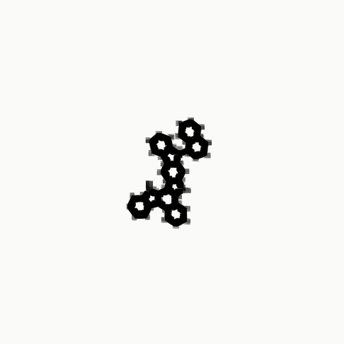 c1ccc2[nH]c3c(c2c#1)c1ccccc1c1sc2cc4c(cc2c31)c1ccccc1n4-c1cccc2ccccc12